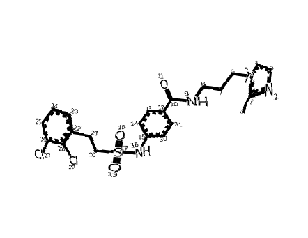 Cc1nccn1CCCNC(=O)c1ccc(NS(=O)(=O)CCc2cccc(Cl)c2Cl)cc1